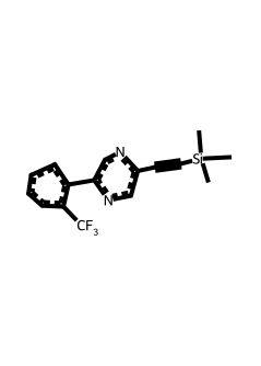 C[Si](C)(C)C#Cc1cnc(-c2ccccc2C(F)(F)F)cn1